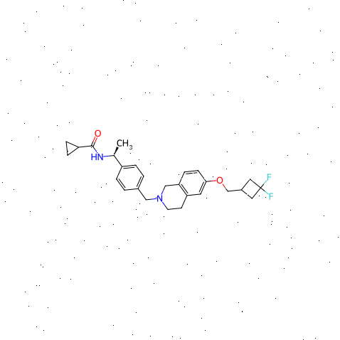 C[C@H](NC(=O)C1CC1)c1ccc(CN2CCc3cc(OCC4CC(F)(F)C4)ccc3C2)cc1